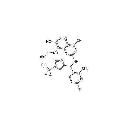 Cc1nc(F)ccc1C(Nc1cc(C#N)c2ncc(C#N)c(NCC(C)(C)C)c2c1)c1cn(C2(C(F)(F)F)CC2)nn1